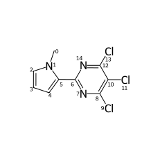 Cn1cccc1-c1nc(Cl)c(Cl)c(Cl)n1